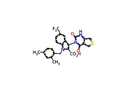 Cc1ccc(Cn2c(C(=O)O)c(-n3c(=O)[nH]c4cscc4c3=O)c3cc(C(F)(F)F)ccc32)c(C)c1